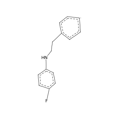 Fc1ccc(NCCc2cc[c]cc2)cc1